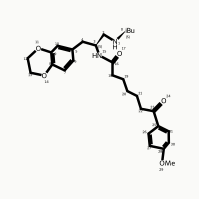 CC[C@H](C)NC[C@H](Cc1ccc2c(c1)OCCO2)NC(=O)CCCCCC(=O)c1ccc(OC)cc1